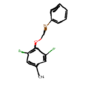 N#Cc1cc(Br)c(OCSc2ccccc2)c(Br)c1